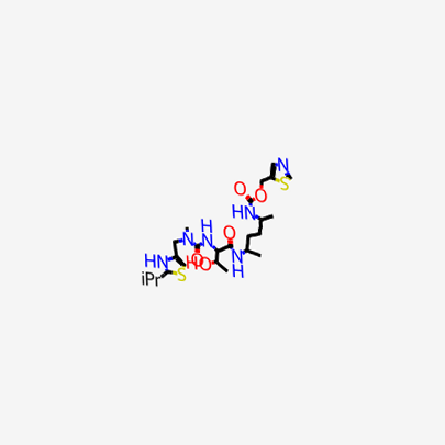 CC(CCC(C)NC(=O)C(NC(=O)N(C)CC1=CSC(C(C)C)N1)C(C)O)NC(=O)OCc1cncs1